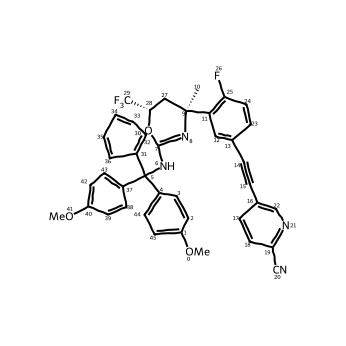 COc1ccc(C(NC2=N[C@](C)(c3cc(C#Cc4ccc(C#N)nc4)ccc3F)C[C@@H](C(F)(F)F)O2)(c2ccccc2)c2ccc(OC)cc2)cc1